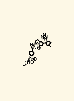 CCOCCN(C(=O)O)c1ccc(-c2cnc([C@@H]3CCc4cc(-c5cc(C)ccc5-n5cnnn5)cc(=O)n43)[nH]2)cc1